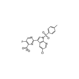 Cc1ccc(S(=O)(=O)n2cc(-c3ncc(F)c([SH](=O)=O)n3)c3cc(Cl)cnc32)cc1